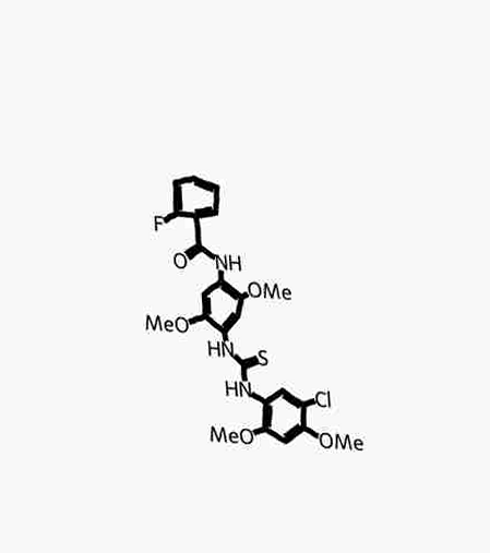 COc1cc(OC)c(NC(=S)Nc2cc(OC)c(NC(=O)c3ccccc3F)cc2OC)cc1Cl